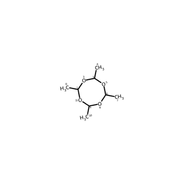 CC1OC(C)OC(C)OC(C)O1